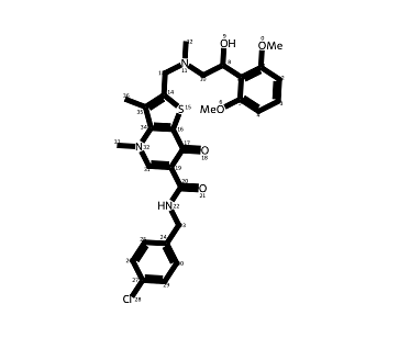 COc1cccc(OC)c1C(O)CN(C)Cc1sc2c(=O)c(C(=O)NCc3ccc(Cl)cc3)cn(C)c2c1C